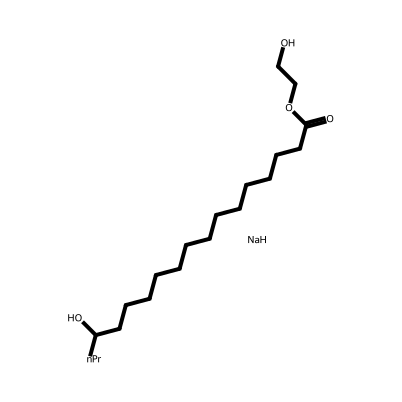 CCCC(O)CCCCCCCCCCCCCC(=O)OCCO.[NaH]